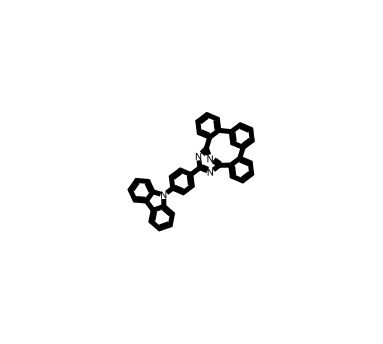 c1cc2cc(c1)c1ccccc1c1nc(-c3ccc(-n4c5ccccc5c5ccccc54)cc3)nc(n1)c1ccccc21